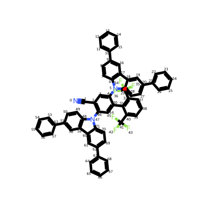 N#Cc1cc(-n2c3ccc(-c4ccccc4)cc3c3cc(-c4ccccc4)ccc32)c(-c2c(C(F)(F)F)cccc2C(F)(F)F)cc1-n1c2ccc(-c3ccccc3)cc2c2cc(-c3ccccc3)ccc21